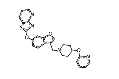 c1ccc(OC2CCN(Cc3coc4cc(Oc5nc6ncccc6s5)ccc34)CC2)nc1